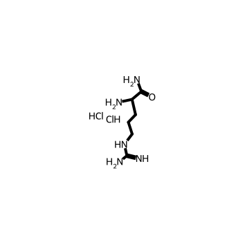 Cl.Cl.N=C(N)NCCCC(N)C(N)=O